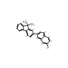 CC1(C)c2ccccc2-c2ccc(-c3ccc4ccc(I)cc4c3)cc21